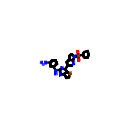 Nc1cccc(Nc2nc(-c3cnc4c(ccn4S(=O)(=O)c4ccccc4)c3)c3sccc3n2)c1